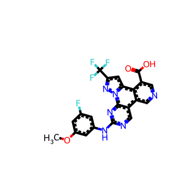 COc1cc(F)cc(Nc2ncc3c4cncc(C(=O)O)c4c4cc(C(F)(F)F)nn4c3n2)c1